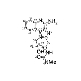 CNC(=O)NOCc1nc2c(N)nc3ccccc3c2n1CC(C)(C)O